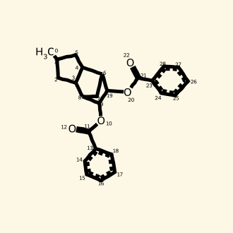 CC1CC2C(C1)C1CC2C(OC(=O)c2ccccc2)C1OC(=O)c1ccccc1